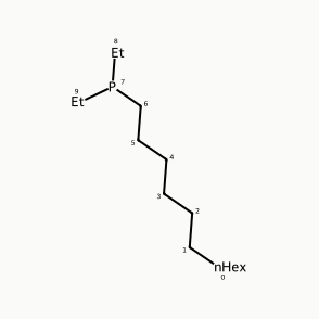 CCCCCCCCCCCCP(CC)CC